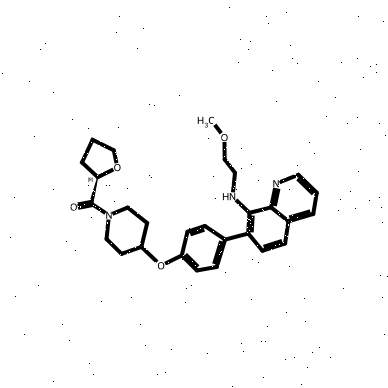 COCCNc1c(-c2ccc(OC3CCN(C(=O)[C@H]4CCCO4)CC3)cc2)ccc2cccnc12